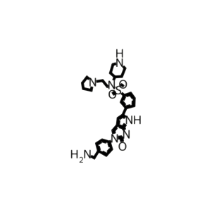 NCc1ccc(-n2cc3cc(-c4cccc(S(=O)(=O)N(CCN5CCCC5)C5CCNCC5)c4)[nH]c3nc2=O)cc1